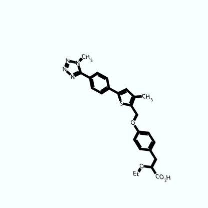 CCOC(Cc1ccc(OCc2sc(-c3ccc(-c4nnnn4C)cc3)cc2C)cc1)C(=O)O